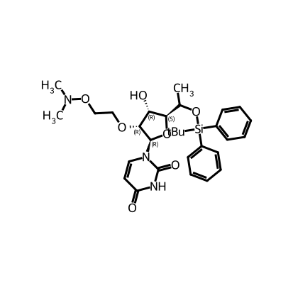 CC(O[Si](c1ccccc1)(c1ccccc1)C(C)(C)C)[C@H]1O[C@@H](n2ccc(=O)[nH]c2=O)[C@H](OCCON(C)C)[C@@H]1O